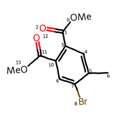 COC(=O)c1cc(C)c(Br)cc1C(=O)OC